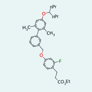 CCCC(CCC)Oc1cc(C)c(-c2cccc(COc3ccc(CCC(=O)OCC)c(F)c3)c2)c(C)c1